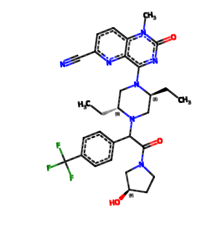 CC[C@H]1CN(C(C(=O)N2CC[C@@H](O)C2)c2ccc(C(F)(F)F)cc2)[C@H](CC)CN1c1nc(=O)n(C)c2ccc(C#N)nc12